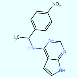 CC(Nc1ncnc2[nH]ccc12)c1ccc([N+](=O)[O-])cc1